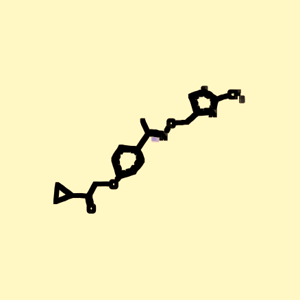 C/C(=N\OCc1csc(C(F)(F)F)n1)c1ccc(OCC(=O)C2CC2)cc1